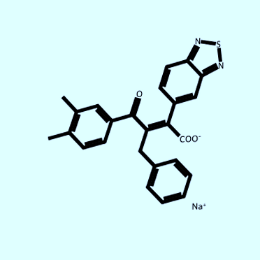 Cc1ccc(C(=O)/C(Cc2ccccc2)=C(/C(=O)[O-])c2ccc3nsnc3c2)cc1C.[Na+]